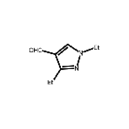 CCc1nn(CC)cc1C=O